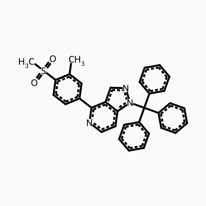 Cc1cc(-c2nccc3c2cnn3C(c2ccccc2)(c2ccccc2)c2ccccc2)ccc1S(C)(=O)=O